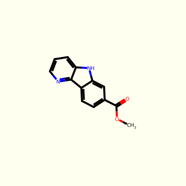 COC(=O)c1ccc2c(c1)[nH]c1cccnc12